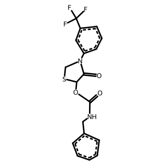 O=C(NCc1ccccc1)OC1SCN(c2cccc(C(F)(F)F)c2)C1=O